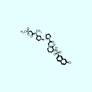 CN(C(=O)CS(C)(=O)=O)C1CCN(C[C@@H]2CCCN2C(=O)CN2CCC[C@H](NS(=O)(=O)c3ccc4ccc(Cl)cc4c3)C2=O)C1